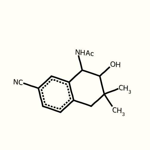 CC(=O)NC1c2cc(C#N)ccc2CC(C)(C)C1O